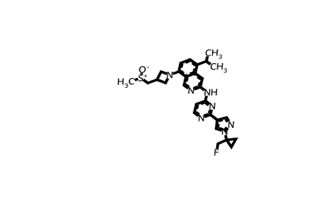 CC(C)c1ccc(N2CC(C[S+](C)[O-])C2)c2cnc(Nc3ccnc(-c4cnn(C5(CF)CC5)c4)n3)cc12